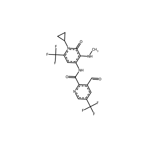 CNc1c(NC(=O)c2ncc(C(F)(F)F)cc2C=O)cc(C(F)(F)F)n(C2CC2)c1=O